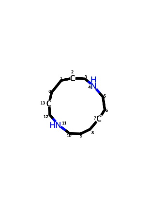 C1CCCNCCCCCCNCC1